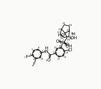 O=C(Nc1ccc(F)c(F)c1)c1ccc(Cl)c(S(=O)(=O)[C@@H]2CC3CC[C@@H](C2)[C@@]3(O)[C@H](O)CO)c1